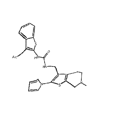 CC(=O)c1c(NC(=O)NCc2c(-n3cccc3)sc3c2CCN(C)C3)sc2ccccc12